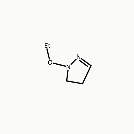 CCON1CCC=N1